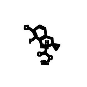 CC(C)(C)OC(=O)NC1(Cc2ccc(Cl)c(F)c2Br)CC1